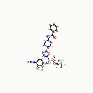 [C-]#[N+]c1ccc(N[C@@H](c2nnc(-c3ccc(NC(=O)c4ccccc4)cc3)o2)[C@@H](C)O[Si](C)(C)C(C)(C)C)c(C)c1Cl